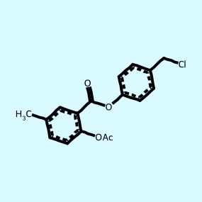 CC(=O)Oc1ccc(C)cc1C(=O)Oc1ccc(CCl)cc1